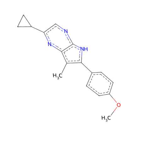 COc1ccc(-c2[nH]c3ncc(C4CC4)nc3c2C)cc1